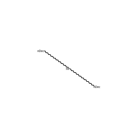 CCCCCCCCCCCCCCCCCCCCCCCCCCCCCPCCCCCCCCCCCCCCCCCCCCCCCCCCCCC